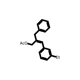 CCc1cccc(/C=C(\COC(C)=O)Cc2ccccc2)c1